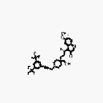 COc1ccc2ncc(Cl)c([C@@H](F)CCC3(CO)CCN(CC#Cc4cc(C(F)(F)F)cc(C(F)(F)F)c4)CC3)c2c1